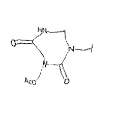 CC(=O)ON1C(=O)NCN(I)C1=O